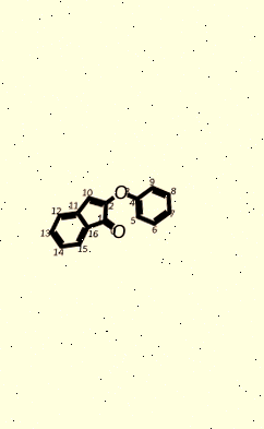 O=C1C(Oc2ccccc2)=Cc2ccccc21